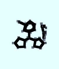 Fc1cccc(P(C2CCCC2)C2CCCC2)c1.[CH3][Pd][Cl]